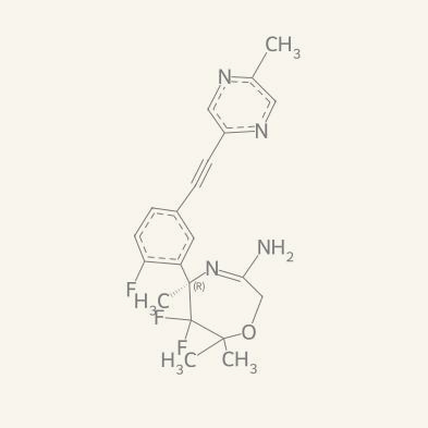 Cc1cnc(C#Cc2ccc(F)c([C@@]3(C)N=C(N)COC(C)(C)C3(F)F)c2)cn1